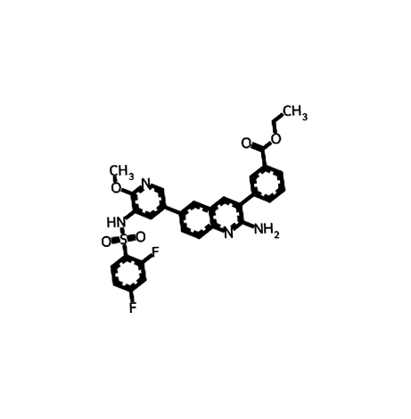 CCOC(=O)c1cccc(-c2cc3cc(-c4cnc(OC)c(NS(=O)(=O)c5ccc(F)cc5F)c4)ccc3nc2N)c1